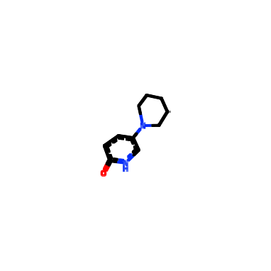 O=c1ccc(N2C[CH]CCC2)c[nH]1